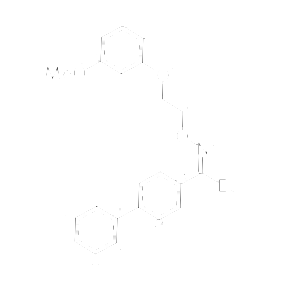 CCC(=NOCCOc1c[c]cc(OC)c1)c1ccc(-c2ccccc2)cc1